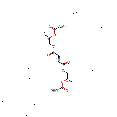 CNC(=O)O[C@H](C)COC(=O)/C=C/C(=O)OC[C@@H](C)OC(=O)NC